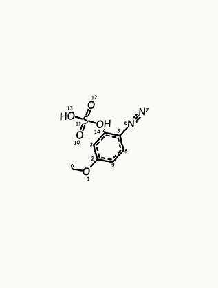 COc1ccc([N+]#N)cc1.O=S(=O)(O)O